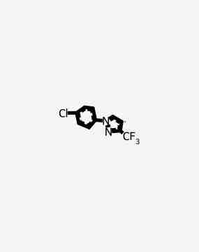 FC(F)(F)c1[c]cn(-c2ccc(Cl)cc2)n1